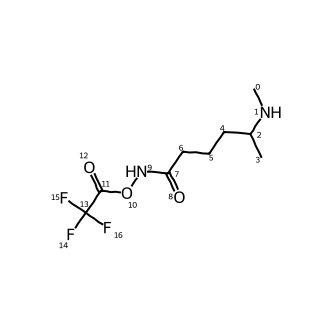 CNC(C)CCCC(=O)NOC(=O)C(F)(F)F